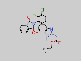 O=C(Nc1nc2ccc(C3(O)c4ccccc4C(=O)N3c3cccc(Cl)c3F)cc2[nH]1)OCC(F)(F)F